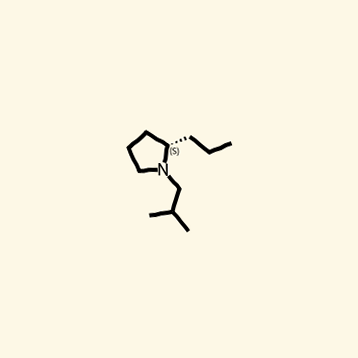 CCC[C@H]1CCCN1CC(C)C